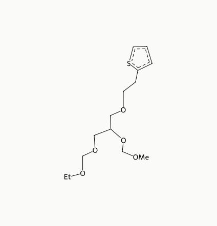 CCOCOCC(COCCc1cccs1)OCOC